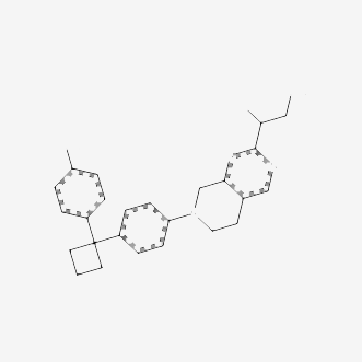 CCC(O)c1ncc2c(n1)CN(c1ccc(C3(c4ccc(C)cc4)CCC3)cc1)CC2